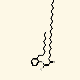 CCCCCCCCCCCCCCCCCCSC(=O)/C=C(/N)Oc1ccccc1CCCCCCCCC